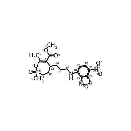 COC(=O)C1=C(C)OP(C)(=O)CCC1CCCNc1ccc([N+](=O)[O-])c2nonc12